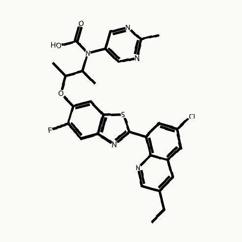 CCc1cnc2c(-c3nc4cc(F)c(OC(C)C(C)N(C(=O)O)c5cnc(C)nc5)cc4s3)cc(Cl)cc2c1